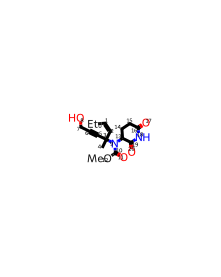 CC/C=C\C(C)(C#CCO)N(C(=O)OC)C1CCC(=O)NC1=O